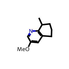 COc1cnc2c(c1)CCCC2C